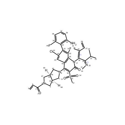 C=CC(=O)N1C[C@@H]2CN(c3c(S(C)(=O)=O)c(=O)n(C(/C(=N\C)C(C)C)=C(\C)C=C)c4c(F)c(-c5c(N)cccc5F)c(Cl)cc34)C[C@@H]2C1